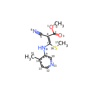 COC(=O)/C(C#N)=C(/Nc1cnccc1C)SC